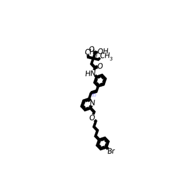 CCC(CC)(CC(=O)Nc1cccc(/C=C/c2cccc(COCCCCc3ccc(Br)cc3)n2)c1)C(=O)O